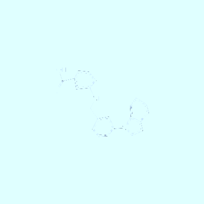 O=C(O)c1cccc(NCc2cccc(-n3ccc4ccccc43)c2)c1